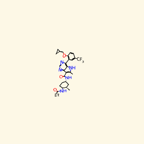 CCC(=O)N[C@H]1CC[C@H](NC(=O)c2c(C)[nH]c3c(-c4cc(C(F)(F)F)ccc4OCC4CC4)ncnc23)C[C@H]1C